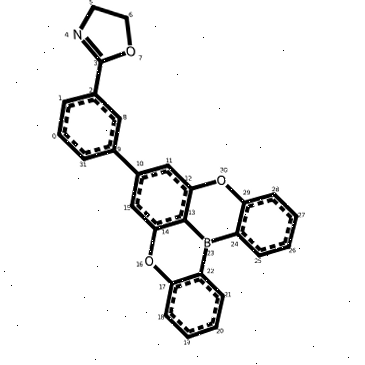 c1cc(C2=NCCO2)cc(-c2cc3c4c(c2)Oc2ccccc2B4c2ccccc2O3)c1